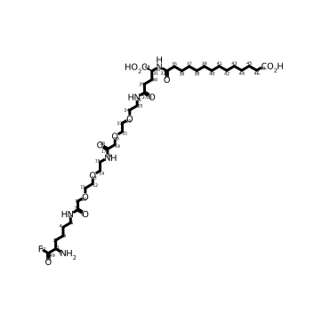 NC(CCCCNC(=O)COCCOCCNC(=O)COCCOCCNC(=O)CC[C@H](NC(=O)CCCCCCCCCCCCC(=O)O)C(=O)O)C(=O)F